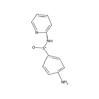 Nc1ccc([S+]([O-])Nc2ccccn2)cc1